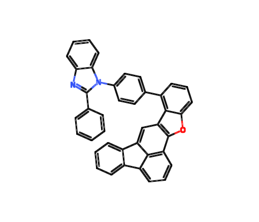 c1ccc(-c2nc3ccccc3n2-c2ccc(-c3cccc4oc5c6cccc7c6c(cc5c34)-c3ccccc3-7)cc2)cc1